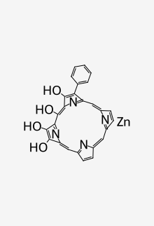 OC1=C(O)C2=NC1=CC1=NC(=CC3=NC(=CC4=NC(=C2O)C(O)=C4c2ccccc2)C=C3)C=C1.[Zn]